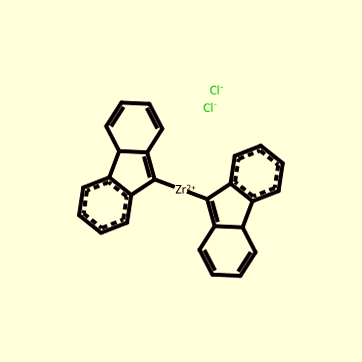 C1=CC2=[C]([Zr+2][C]3=C4C=CC=CC4c4ccccc43)c3ccccc3C2C=C1.[Cl-].[Cl-]